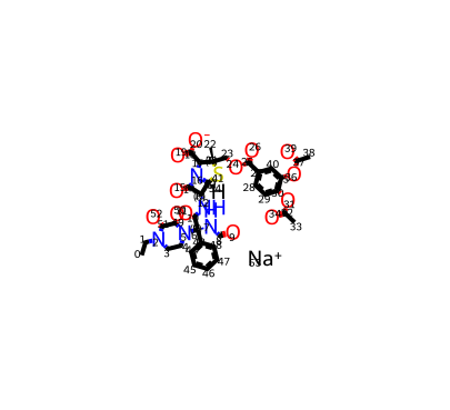 CCN1CCN([C@@](NC=O)(C(=O)N[C@@H]2C(=O)N3C(C(=O)[O-])[C@](C)(COC(=O)c4ccc(OC(C)=O)c(OC(C)=O)c4)S[C@@H]23)c2ccccc2)C(=O)C1=O.[Na+]